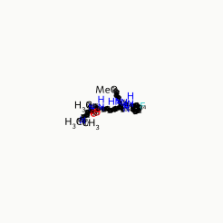 COCCCNc1nc(Nc2cccc(F)c2)ncc1C#CCCCNC(=O)CN(C)C(=O)/C=C/CN(C)C